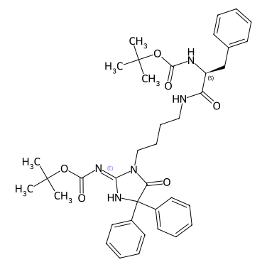 CC(C)(C)OC(=O)/N=C1\NC(c2ccccc2)(c2ccccc2)C(=O)N1CCCCNC(=O)[C@H](Cc1ccccc1)NC(=O)OC(C)(C)C